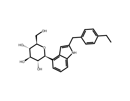 CCc1ccc(Cc2cc3c([C@@H]4O[C@H](CO)[C@@H](O)[C@H](O)[C@H]4O)cccc3[nH]2)cc1